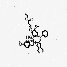 CCCCC1(CCCC)CN(c2ccccc2)c2cc(SC)c(OCCC(=O)OCC)cc2S(O)(O)N1Cc1ccc(OC)cc1